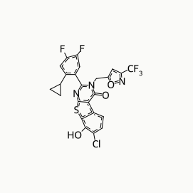 O=c1c2c(nc(-c3cc(F)c(F)cc3C3CC3)n1Cc1cc(C(F)(F)F)no1)sc1c(O)c(Cl)ccc12